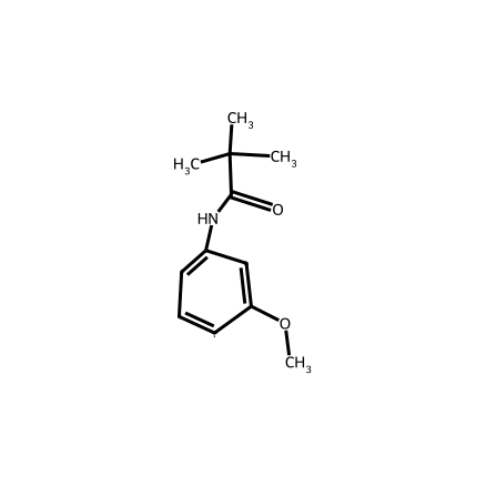 COc1[c]ccc(NC(=O)C(C)(C)C)c1